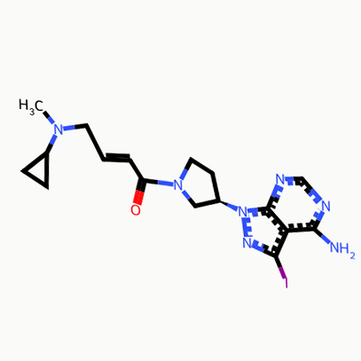 CN(CC=CC(=O)N1CC[C@@H](n2nc(I)c3c(N)ncnc32)C1)C1CC1